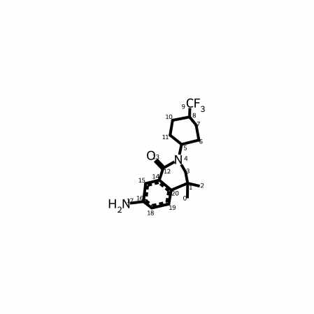 CC1(C)CN(C2CCC(C(F)(F)F)CC2)C(=O)c2cc(N)ccc21